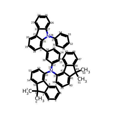 CC1(C)c2ccccc2-c2c(N(c3cccc(-c4cccc5c6ccccc6n(-c6ccccc6)c45)c3)c3cccc4c3-c3ccccc3C4(C)C)cccc21